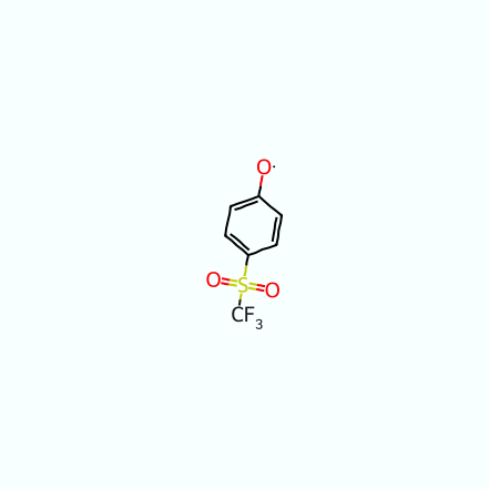 [O]c1ccc(S(=O)(=O)C(F)(F)F)cc1